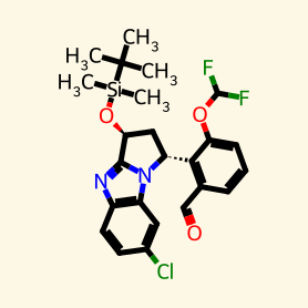 CC(C)(C)[Si](C)(C)O[C@H]1C[C@H](c2c(C=O)cccc2OC(F)F)n2c1nc1ccc(Cl)cc12